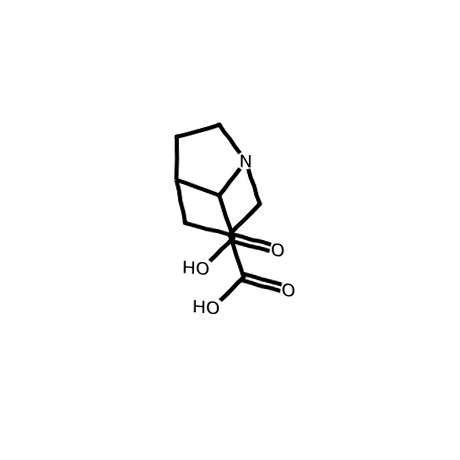 O=C(O)C1CC2CCN(C1)C2C(=O)O